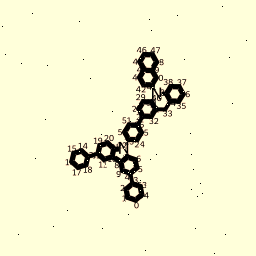 c1ccc(-c2ccc3c(c2)c2cc(-c4ccccc4)ccc2n3-c2ccc(-c3ccc4c(c3)Cc3ccccc3N4c3ccc4ccccc4c3)cc2)cc1